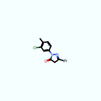 Cc1ccc(N2N=C(C(C)C)CC2=O)cc1Cl